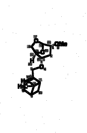 CO[C@@H]1C[C@H](OCC2=CCC3CC2C3(C)C)[C@H]2COC1O2